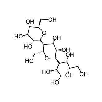 OC[C@@H](O)C([C@H]1O[C@H](CO)[C@@H](C2O[C@H](CO)[C@@H](O)[C@H](O)[C@H]2O)[C@H](O)[C@H]1O)[C@H](O)[C@@H](O)CO